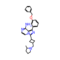 CC1CCCN1CC1CC(c2nc(-c3cccc(OCc4ccccc4)c3)c3c(N)nccn23)C1